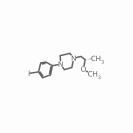 CO[C@@H](C)CN1CCN(c2ccc(I)cc2)CC1